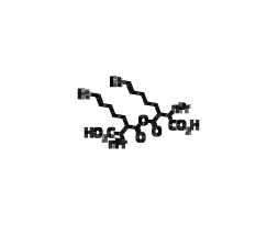 CC/C=C/CCCC(C(=O)OC(=O)C(CCC/C=C/CC)C(CCC)C(=O)O)C(CCC)C(=O)O